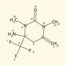 C=C1CC(N)(C(F)(F)F)N(C)C(=O)N1C